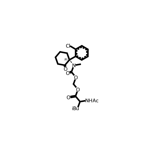 CCC(C)C(NC(C)=O)C(=O)OCOC(=O)N(C)[C@@]1(c2ccccc2Cl)CCCCC1=O